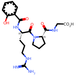 N=C(N)NCCC[C@H](NC(=O)c1ccccc1O)C(=O)N1CCC[C@H]1C(=O)NCC(=O)O